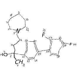 CC(O)(CCN1CCCCCC1)c1ccc(-c2ccc(F)cc2F)cc1